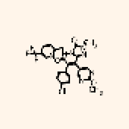 COc1ncc(-c2c(-c3ccc(Cl)cc3)c(=O)n(Cc3ccc(C(F)(F)F)cn3)n3c(=O)n(C)nc23)cn1